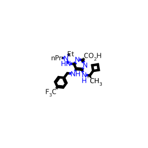 CCCN(CC)Nc1nc(C(=O)O)nc(N[C@H](C)C2CCC2)c1NCc1ccc(C(F)(F)F)cc1